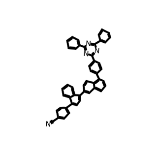 N#Cc1ccc(-c2ccc(-c3ccc4c(-c5ccc(-c6nc(-c7ccccc7)nc(-c7ccccc7)n6)cc5)cccc4c3)c3ccccc23)cc1